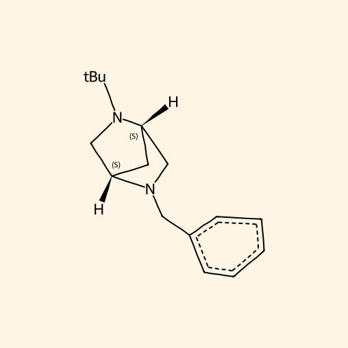 CC(C)(C)N1C[C@@H]2C[C@H]1CN2Cc1ccccc1